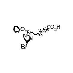 CC(C)(Sc1nc(CCN(CCOc2ccccc2)c2ncc(Br)cn2)cs1)C(=O)O